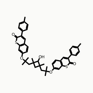 Cc1ccc(-c2cc3ccc(OC(C)(C)CC4(C)CC(C)(CC(C)(C)Oc5ccc6cc(-c7ccc(C)cc7)c(=O)sc6c5)C4O)cc3sc2=O)cc1